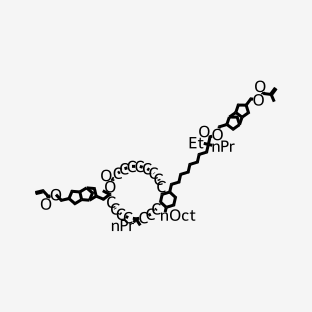 C=CC(=O)OCC1CC2C3CC(CC4(C)CCCCC(C)(CCC)CCCC5C(CCCCCCCC)CCC(CCCCCCCCC(CC)(CCC)C(=O)OCC6CC7CC6C6CC(COC(=O)C(=C)C)CC76)C5CCCCCCCCC(=O)O4)C(C3)C2C1